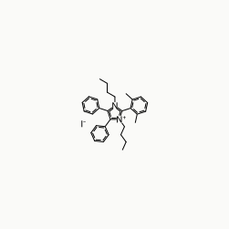 CCCCn1c(-c2ccccc2)c(-c2ccccc2)[n+](CCCC)c1-c1c(C)cccc1C.[I-]